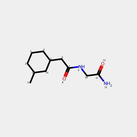 CC1CCCC(CC(=O)NCC(N)=O)C1